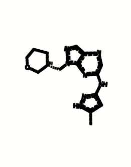 Cc1cc(Nc2cnc3cnn(C[C@H]4CCCOC4)c3n2)n[nH]1